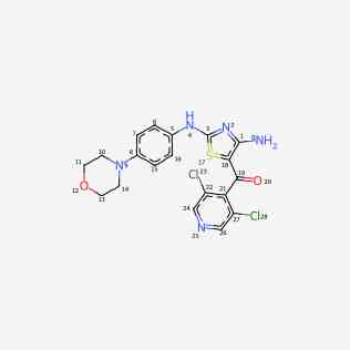 Nc1nc(Nc2ccc(N3CCOCC3)cc2)sc1C(=O)c1c(Cl)cncc1Cl